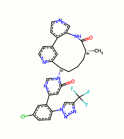 C[C@@H]1CCC[C@H](n2cnc(-c3cc(Cl)ccc3-n3cc(C(F)(F)F)nn3)cc2=O)c2cc(ccn2)-c2ccncc2NC1=O